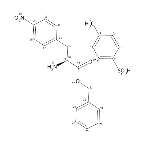 Cc1ccc(S(=O)(=O)O)cc1.N[C@@H](Cc1ccc([N+](=O)[O-])cc1)C(=O)OCc1ccccc1